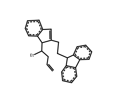 C=CCC(CC)C1C(CCC2c3ccccc3-c3ccccc32)=Cc2ccccc21